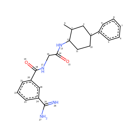 CC1CC(c2ccccc2)CCC1NC(=O)CNC(=O)c1cccc(C(=N)N)c1